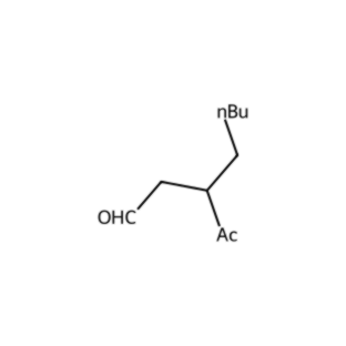 CCCCCC(CC=O)C(C)=O